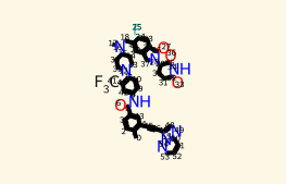 Cc1ccc(C(=O)Nc2ccc(N3CCC(N(C)Cc4cc5c(cc4F)C(=O)N(C4CCC(=O)NC4=O)C5)CC3)c(C(F)(F)F)c2)cc1C#Cc1cnc2cccnn12